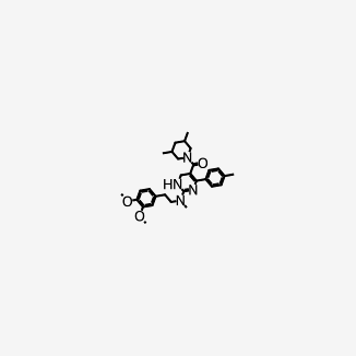 COc1ccc(CCN(C)C2=NC(c3ccc(C)cc3)=C(C(=O)N3CC(C)CC(C)C3)CN2)cc1OC